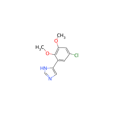 COc1cc(Cl)cc(-c2cnc[nH]2)c1OC